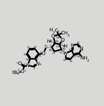 CC(C)(C)OC(=O)n1cnc2c(OC[C@H]3C[C@@H](n4ccc5c(N)ncnc54)[C@@H]4OC(C)(C)O[C@H]34)cccc21